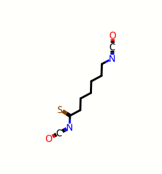 O=C=NCCCCCCC(=S)N=C=O